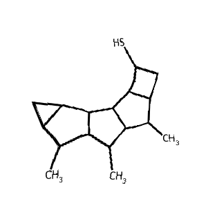 CC1C2CC2C2C1C(C)C1C(C)C3CC(S)C3C12